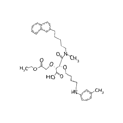 CCOC(=O)CO[C@@H](C(=O)O)[C@@H](OCCCCNc1cccc(C)c1)C(=O)N(C)CCCCCc1ccc2ccccc2c1